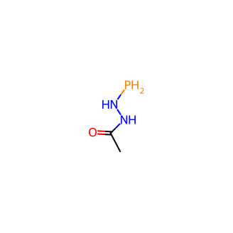 CC(=O)NNP